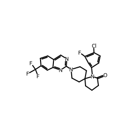 O=C1CCCC2(CCN(c3ncc4ccc(C(F)(F)F)cc4n3)CC2)N1c1ccc(Cl)c(F)c1